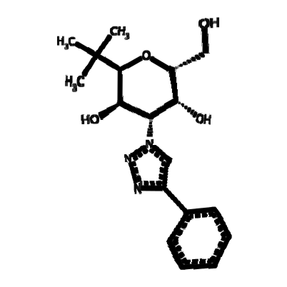 CC(C)(C)C1O[C@H](CO)[C@H](O)[C@H](n2cc(-c3ccccc3)nn2)[C@H]1O